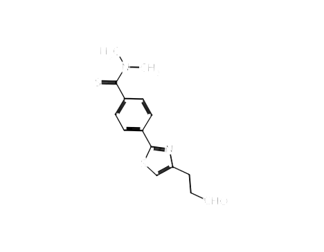 CN(C)C(=S)c1ccc(-c2nc(CCC=O)cs2)cc1